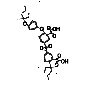 CCCC(C)(CC)Oc1ccc(Oc2ccc(S(=O)(=O)c3ccc(C(C)(CC)CCC)c(S(=O)(=O)O)c3)cc2S(=O)(=O)O)cc1